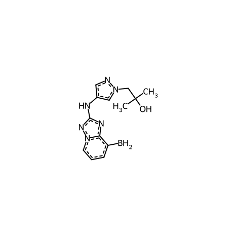 Bc1cccn2nc(Nc3cnn(CC(C)(C)O)c3)nc12